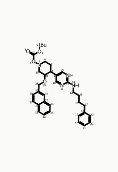 CC(C)(C)OC(=O)ON1CCC(c2cnc(NCCCCc3ccccc3)nc2)C(OCc2ccc3ccccc3c2)C1